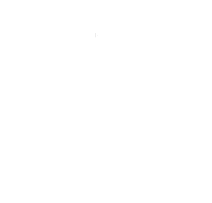 O=C(CCc1ccc(O)cc1Cl)CC(=O)CCc1ccc(O)cc1Cl